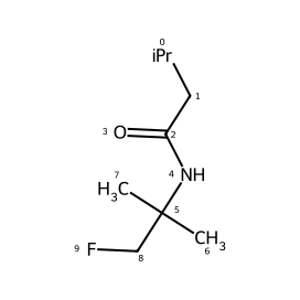 CC(C)CC(=O)NC(C)(C)CF